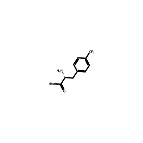 CC(C)(C)C(=O)[C@H](N)Cc1ccc(C(F)(F)F)cc1